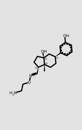 C[C@]12CC[C@H](c3cccc(O)c3)C[C@@]1(O)CC[C@@H]2/C=N/OCCN